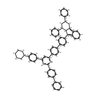 c1ccc(-c2ccc(-c3nc(-c4ccc(-c5ccc(C6=c7ccccc7=C7CC(c8ccccc8)CC(c8ccccc8)C76)cc5)cc4)cc(-c4ccc(C5CCCCC5)cc4)n3)cc2)cc1